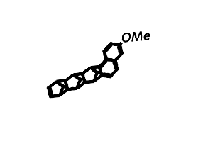 COc1ccc2c3c(ccc2c1)C1CC3C2C3CC(C4C5C=CC(C5)C34)C12